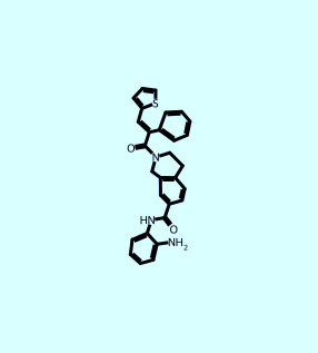 Nc1ccccc1NC(=O)c1ccc2c(c1)CN(C(=O)C(=Cc1cccs1)c1ccccc1)CC2